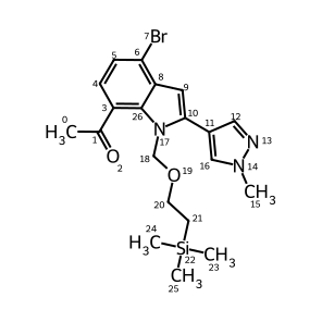 CC(=O)c1ccc(Br)c2cc(-c3cnn(C)c3)n(COCC[Si](C)(C)C)c12